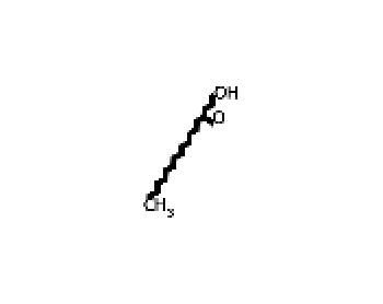 CCCCCCCCCCCCCCC([C]=O)CCCO